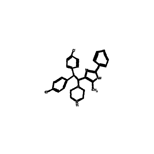 Cc1[nH]c(-c2ccccc2)nc1C(C(c1ccc(Cl)cc1)c1ccc(Cl)cc1)N1CCNCC1